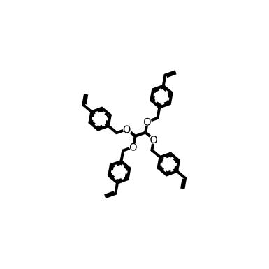 C=Cc1ccc(COC(OCc2ccc(C=C)cc2)C(OCc2ccc(C=C)cc2)OCc2ccc(C=C)cc2)cc1